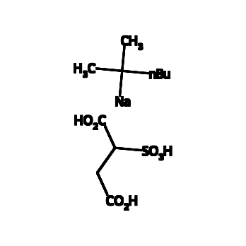 CCCC[C](C)(C)[Na].O=C(O)CC(C(=O)O)S(=O)(=O)O